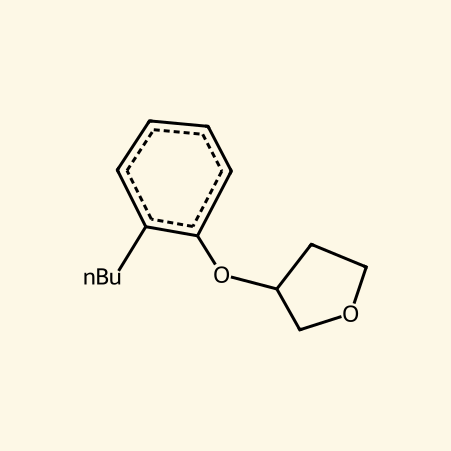 CCCCc1ccccc1OC1CCOC1